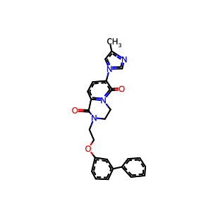 Cc1cn(-c2ccc3n(c2=O)CCN(CCOc2cccc(-c4ccccc4)c2)C3=O)cn1